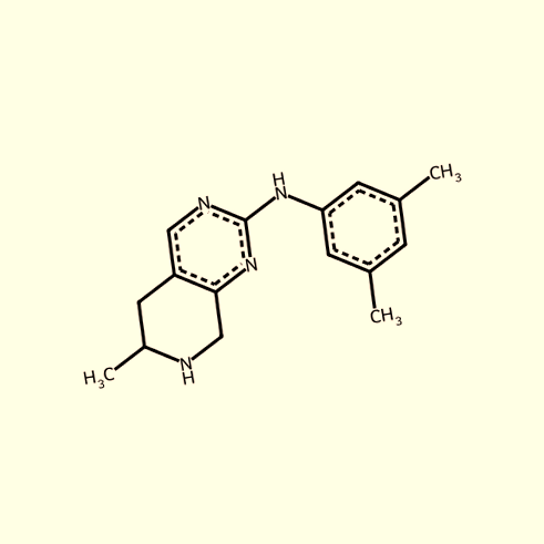 Cc1cc(C)cc(Nc2ncc3c(n2)CNC(C)C3)c1